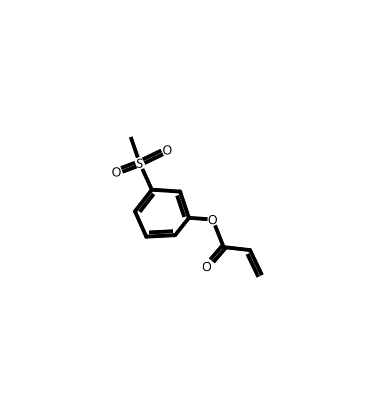 C=CC(=O)Oc1cccc(S(C)(=O)=O)c1